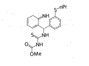 CCCSc1cccc(C(NC(=S)NC(=O)OC)C2=CC=CCC2=N)c1